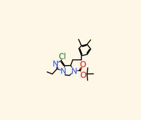 CCc1nc(Cl)c2n1CCN(C(=O)OC(C)(C)C)C2CCc1ccc(C)c(C)c1